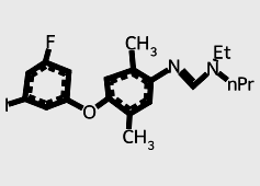 CCCN(/C=N/c1cc(C)c(Oc2cc(F)cc(I)c2)cc1C)CC